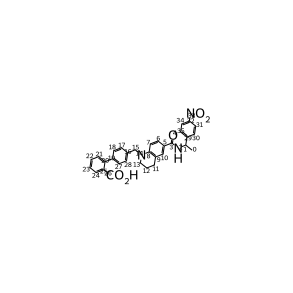 CC(NC(=O)c1ccc2c(c1)CCCN2Cc1ccc(-c2ccccc2C(=O)O)cc1)c1ccc([N+](=O)[O-])cc1